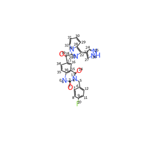 Cn1c(=O)n(Cc2ccc(F)cc2)c(=O)c2cc(C(=O)c3nc(-c4cn[nH]c4)c4ccccn34)ccc21